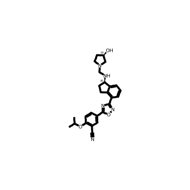 CC(C)Oc1ccc(-c2nc(-c3cccc4c3CC[C@H]4NCN3CC[C@@H](O)C3)no2)cc1C#N